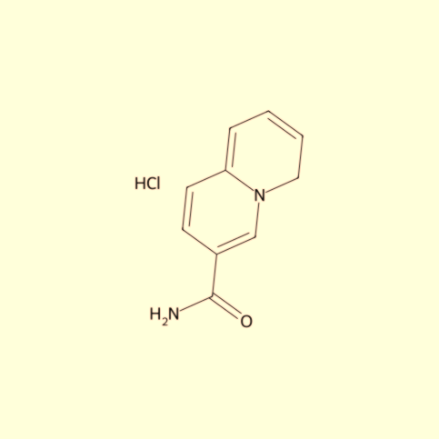 Cl.NC(=O)C1=CN2CC=CC=C2C=C1